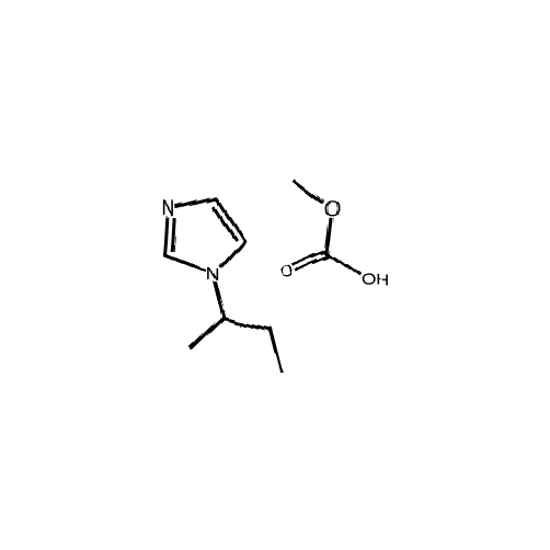 CCC(C)n1ccnc1.COC(=O)O